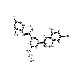 CCCc1cc(C)cc(CCC)c1N=C(C)c1cc(C)cc(C(C)=Nc2c(CCC)cc(C)cc2CCC)n1.[Cl-].[Cl-].[Co+2]